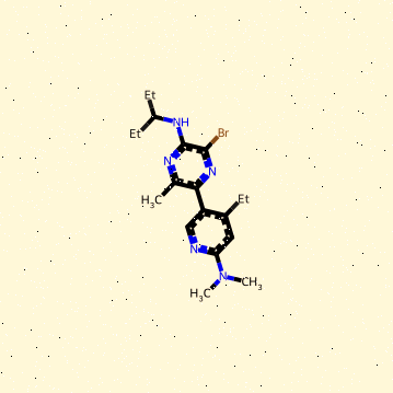 CCc1cc(N(C)C)ncc1-c1nc(Br)c(NC(CC)CC)nc1C